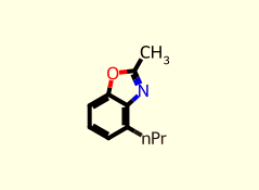 CCCc1cccc2oc(C)nc12